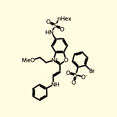 CCCCCCS(=O)(=O)Nc1ccc2oc(C=CNc3ccccc3)[n+](CCOC)c2c1.O=S(=O)([O-])c1ccccc1Br